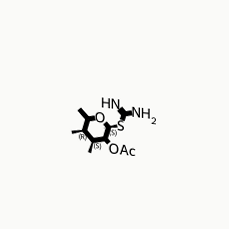 CC(=O)OC1[C@@H](C)[C@@H](C)C(C)O[C@H]1SC(=N)N